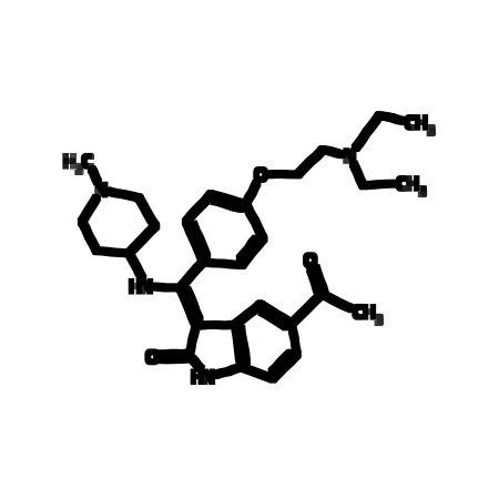 CCN(CC)CCOc1ccc(/C(NC2CCN(C)CC2)=C2/C(=O)Nc3ccc(C(C)=O)cc32)cc1